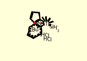 CC(C)(C)[NH][Ti]([CH3])([CH3])([CH3])([CH3])([CH3])([SiH3])([C]1=CC=CC1)[c]1ccccc1.Cl.Cl